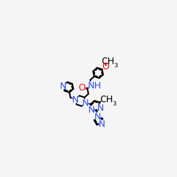 COc1ccc(CNC(=O)CC2CN(Cc3cccnc3)CCN2c2cc(C)nc(-n3ccnc3)n2)cc1